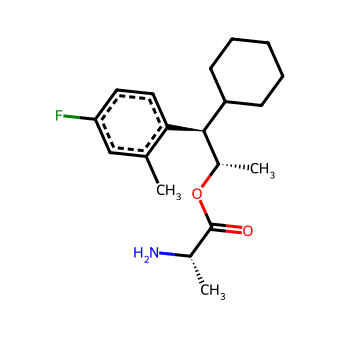 Cc1cc(F)ccc1[C@@H](C1CCCCC1)[C@H](C)OC(=O)[C@H](C)N